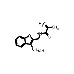 C=C(C)C(=O)NCc1oc2ccccc2c1C.Cl